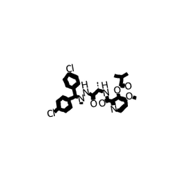 COc1ccnc(C(=O)N[C@@H](C)C(=O)NN(C)C(c2ccc(Cl)cc2)c2ccc(Cl)cc2)c1OC(=O)C(C)C